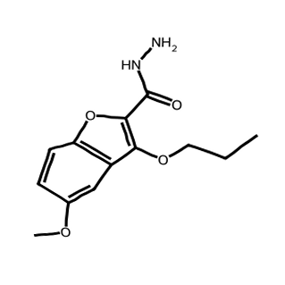 CCCOc1c(C(=O)NN)oc2ccc(OC)cc12